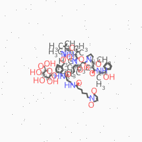 CC[C@H](C)[C@@H]([C@@H](CC(=O)N1CCC[C@H]1[C@H](OC)[C@@H](C)C(=O)N[C@H](C)[C@@H](O)c1ccccc1)OC)N(C)C(=O)[C@@H](NC(=O)[C@H](C(C)C)N(C)C(=O)OCc1ccc(O[C@@H]2O[C@H](C(=O)O)[C@@H](O)[C@H](O)[C@H]2O)c(NC(=O)CCNC(=O)CCCCCN2C(=O)C=CC2=O)c1)C(C)C